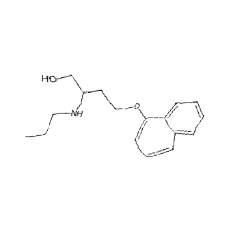 CCCNC(CO)CCOc1cccc2ccccc12